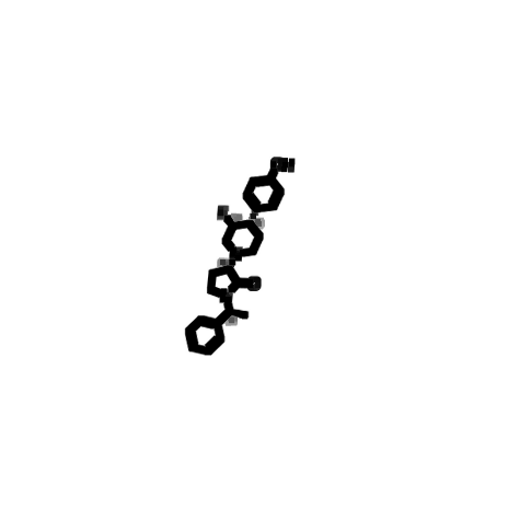 C[C@@H](c1ccccc1)N1CC[C@H](N2CC[C@@H](c3ccc(O)cc3)[C@H](F)C2)C1=O